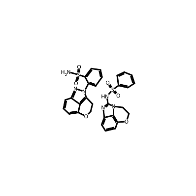 NS(=O)(=O)c1ccccc1-n1nc2cccc3c2c1CCO3.O=S(=O)(Nc1nc2cccc3c2n1CCO3)c1ccccc1